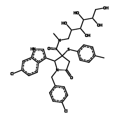 Cc1ccc(SC2(C(=O)N(C)CC(O)C(O)C(O)C(O)CO)CC(=O)N(Cc3ccc(Cl)cc3)C2c2c[nH]c3cc(Cl)ccc23)cc1